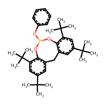 CC(C)(C)c1cc2c(c(C(C)(C)C)c1)OP(Oc1ccccc1)Oc1c(cc(C(C)(C)C)cc1C(C)(C)C)C2